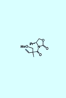 C=CC(C)(COC)C(=O)N1C(=O)OC[C@@H]1C(C)C